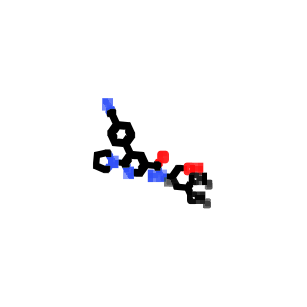 CC(C)C[C@H](CO)NC(=O)c1cnc(N2CCCC2)c(-c2ccc(C#N)cc2)c1